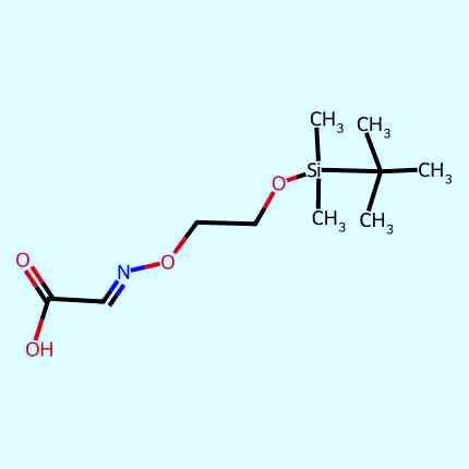 CC(C)(C)[Si](C)(C)OCCON=CC(=O)O